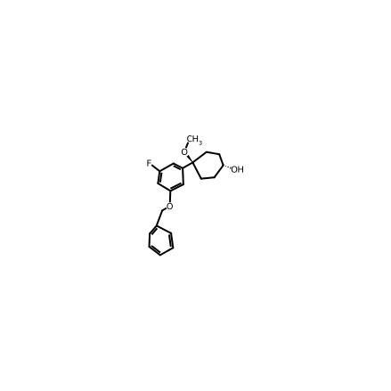 CO[C@]1(c2cc(F)cc(OCc3ccccc3)c2)CC[C@@H](O)CC1